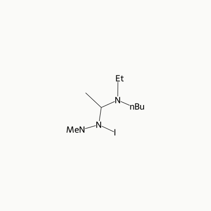 CCCCN(CC)C(C)N(I)NC